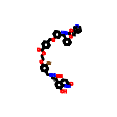 O=C(NC(c1ccccc1)c1cccc(OCc2ccc(C(=O)OCCOc3ccc(CNC[C@H](O)c4ccc(O)c5[nH]c(=O)ccc45)cc3Br)cc2)c1)O[C@H]1CN2CCC1CC2